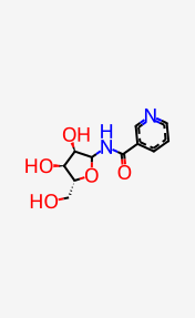 O=C(NC1O[C@H](CO)[C@@H](O)[C@H]1O)c1cccnc1